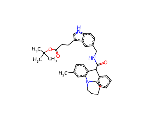 Cc1ccc(C(C(=O)NCc2ccc3[nH]cc(CCC(=O)OC(C)(C)C)c3c2)c2ccccc2)c(N2CCCCC2)c1